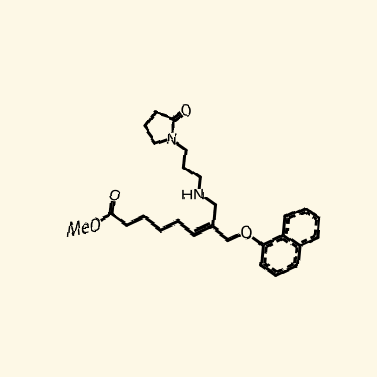 COC(=O)CCCCC=C(CNCCCN1CCCC1=O)COc1cccc2ccccc12